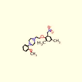 COc1ccccc1N1CCN(CCOC2=C(C)CC(C)=CC2C[N+](=O)[O-])CC1